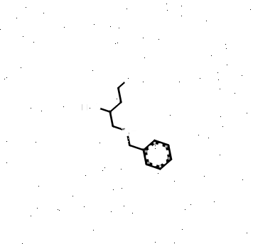 CC(CCO)CNCc1ccccc1